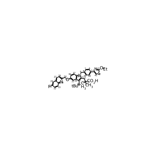 CCOc1nc(-c2ccc(Cn3c(CC(C)(C)C(=O)O)c(SC(C)(C)C)c4cc(OCc5ccc6cc(F)ccc6n5)ccc43)cc2)cs1